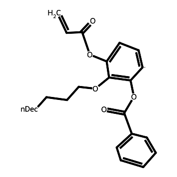 C=CC(=O)Oc1cc[c]c(OC(=O)c2ccccc2)c1OCCCCCCCCCCCCC